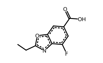 CCc1nc2c(F)cc(C(=O)O)cc2o1